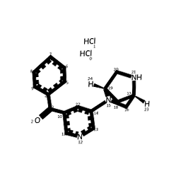 Cl.Cl.O=C(c1ccccc1)c1cncc(N2C[C@@H]3C[C@H]2CN3)c1